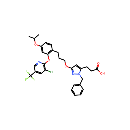 CC(C)Oc1ccc(CCCOc2cc(CCC(=O)O)n(Cc3ccccc3)n2)c(Oc2ncc(C(F)(F)F)cc2Cl)c1